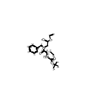 CCOC(=O)CN(Cc1ccccc1)C(=O)[C@H](CC)NC(=O)OC(C)(C)C